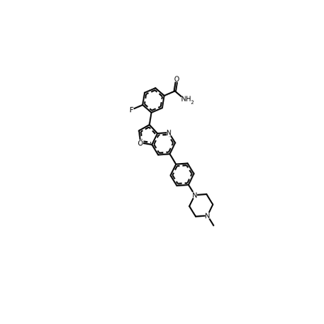 CN1CCN(c2ccc(-c3cnc4c(-c5cc(C(N)=O)ccc5F)coc4c3)cc2)CC1